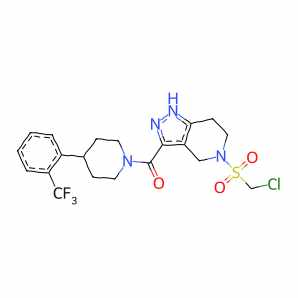 O=C(c1n[nH]c2c1CN(S(=O)(=O)CCl)CC2)N1CCC(c2ccccc2C(F)(F)F)CC1